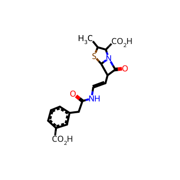 CC1SC2C(C=CNC(=O)Cc3cccc(C(=O)O)c3)C(=O)N2C1C(=O)O